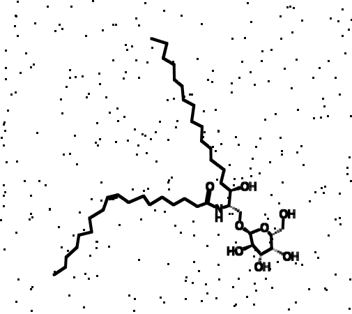 CCCCCCCC/C=C\CCCCCCCC(=O)N[C@@H](CO[C@H]1O[C@H](CO)[C@H](O)[C@H](O)[C@H]1O)[C@H](O)CCCCCCCCCCCCCCC